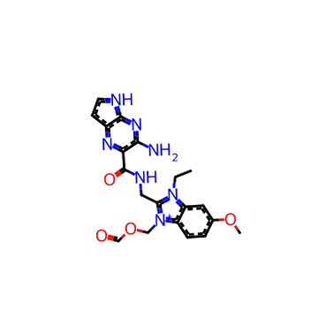 CCn1c(CNC(=O)c2nc3cc[nH]c3nc2N)[n+](COC=O)c2ccc(OC)cc21